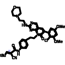 COc1cc(OC)c(Cl)c(-c2cc3cnc(NCCN4CCOCC4)nc3n(CCc3ccc(NC(=O)/C(C#N)=C/C(C)(C)C)cc3)c2=O)c1